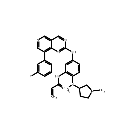 C=CC(=O)Nc1cc(Nc2ncc3cncc(-c4cccc(F)c4)c3n2)ccc1N(C)C1CCN(C)C1